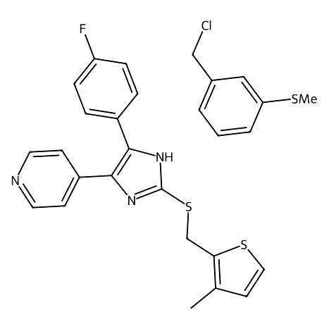 CSc1cccc(CCl)c1.Cc1ccsc1CSc1nc(-c2ccncc2)c(-c2ccc(F)cc2)[nH]1